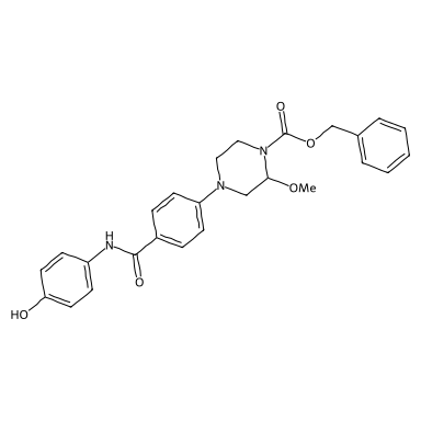 COC1CN(c2ccc(C(=O)Nc3ccc(O)cc3)cc2)CCN1C(=O)OCc1ccccc1